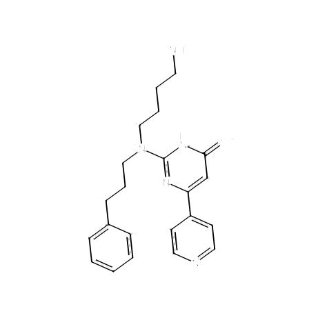 NCCCCN(CCCc1ccccc1)c1nc(-c2ccncc2)cc(=O)[nH]1